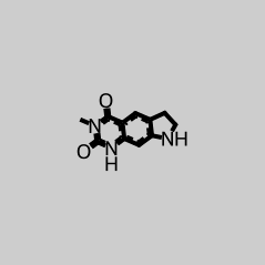 Cn1c(=O)[nH]c2cc3c(cc2c1=O)CCN3